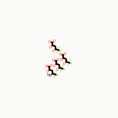 O=C([O-])C(=O)CC(=O)C(F)(F)F.O=C([O-])C(=O)CC(=O)C(F)(F)F.O=C([O-])C(=O)CC(=O)C(F)(F)F.O=C([O-])C(=O)CC(=O)C(F)(F)F.[Th+4]